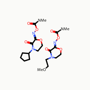 CNC(=O)ON=C1OCCN(C2CCCC2)C1=O.CNC(=O)ON=C1OCCN(CCOC)C1=O